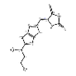 CN(CCO)c1cc2sc(/C=C3\SC(=S)NC3=S)cc2s1